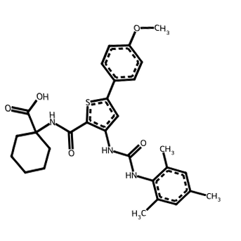 COc1ccc(-c2cc(NC(=O)Nc3c(C)cc(C)cc3C)c(C(=O)NC3(C(=O)O)CCCCC3)s2)cc1